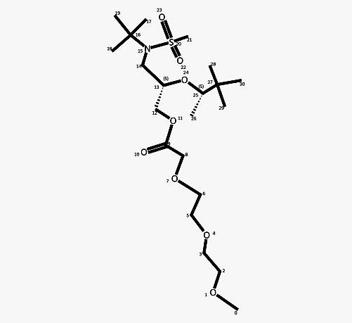 COCCOCCOCC(=O)OC[C@H](CN(C(C)(C)C)S(C)(=O)=O)O[C@@H](C)C(C)(C)C